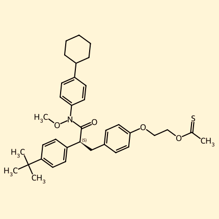 CON(C(=O)[C@@H](Cc1ccc(OCCOC(C)=S)cc1)c1ccc(C(C)(C)C)cc1)c1ccc(C2CCCCC2)cc1